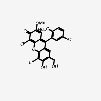 COc1cc2c(-c3cc(C(C)=O)ccc3C(=O)O)c3cc(CO)c(O)c(Cl)c3oc-2c(Cl)c1=O